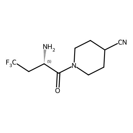 N#CC1CCN(C(=O)[C@@H](N)CC(F)(F)F)CC1